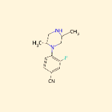 CC1CN(c2ccc(C#N)cc2F)C(C)CN1